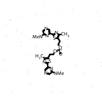 CNc1cncc(-c2nc(C)c(CCO[N+](=O)OCCc3sc(-c4cncc(NC)n4)nc3C)s2)n1